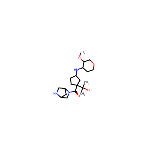 COC1COCCC1NC1CCC(C(=O)N2CC3CC2CN3)(C(C)(C)O)C1